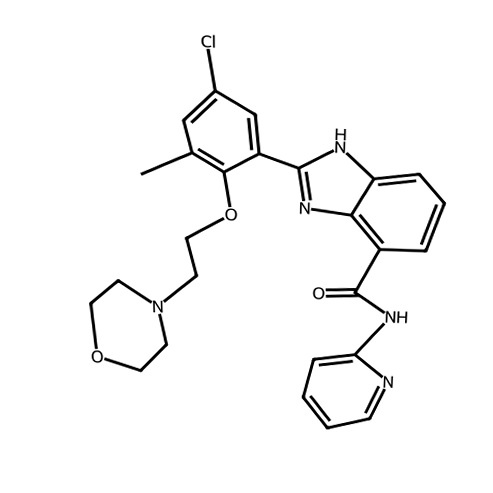 Cc1cc(Cl)cc(-c2nc3c(C(=O)Nc4ccccn4)cccc3[nH]2)c1OCCN1CCOCC1